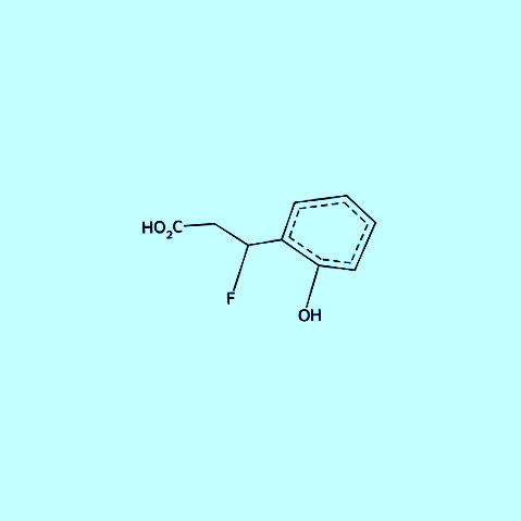 O=C(O)CC(F)c1ccccc1O